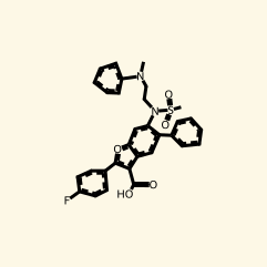 CN(CCN(c1cc2oc(-c3ccc(F)cc3)c(C(=O)O)c2cc1-c1ccccc1)S(C)(=O)=O)c1ccccc1